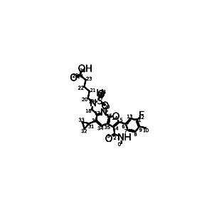 CNC(=O)c1c(-c2ccc(C)c(F)c2)oc2nc(CN(CCCCC(=O)O)[SH](=O)=O)c(C3CC3)cc12